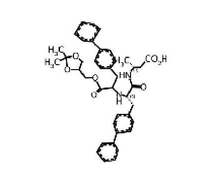 C[C@H](CC(=O)O)NC(=O)[C@H](Cc1ccc(-c2ccccc2)cc1)NC(Cc1ccc(-c2ccccc2)cc1)C(=O)OCC1COC(C)(C)O1